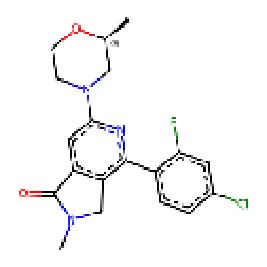 C[C@H]1CN(c2cc3c(c(-c4ccc(Cl)cc4F)n2)CN(C)C3=O)CCO1